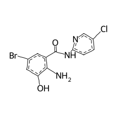 Nc1c(O)cc(Br)cc1C(=O)Nc1ccc(Cl)cn1